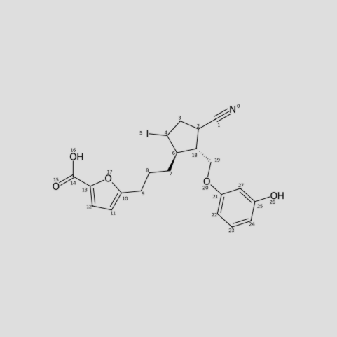 N#CC1CC(I)[C@H](CCCc2ccc(C(=O)O)o2)[C@H]1COc1cccc(O)c1